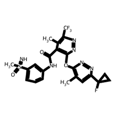 Cc1cc(C2(F)CC2)nnc1Oc1nnc(C(F)(F)F)c(C)c1C(=O)Nc1cccc(S(C)(=N)=O)c1